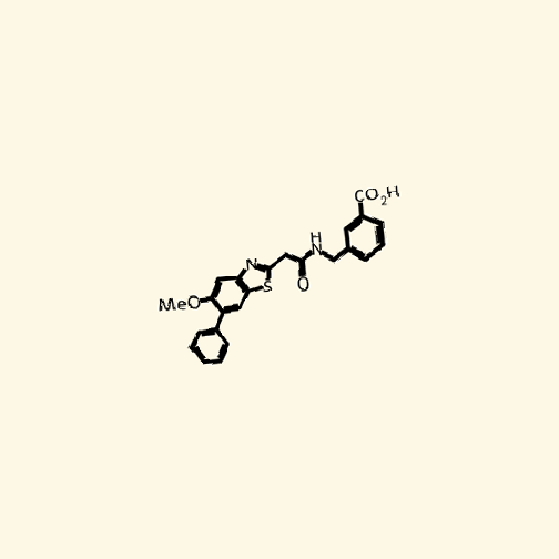 COc1cc2nc(CC(=O)NCc3cccc(C(=O)O)c3)sc2cc1-c1ccccc1